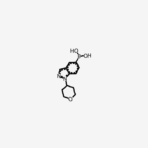 OB(O)c1ccc2c(cnn2C2CCOCC2)c1